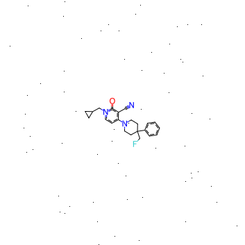 N#Cc1c(N2CCC(CF)(c3ccccc3)CC2)ccn(CC2CC2)c1=O